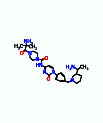 CC(N)C1CCCN(Cc2ccc(-n3ccc(NC(=O)N4CCN(C(=O)C(C)(C)N)CC4)nc3=O)cc2)C1